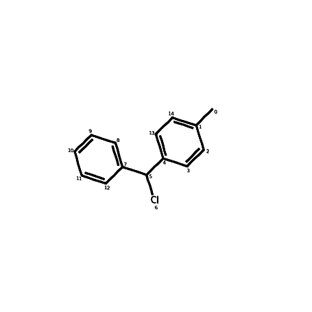 Cc1ccc(C(Cl)c2ccccc2)cc1